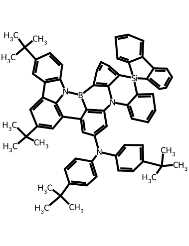 CC(C)(C)c1ccc(N(c2ccc(C(C)(C)C)cc2)c2cc3c4c(c2)N2c5ccccc5[Si]5(c6ccccc6-c6ccccc65)c5cccc(c52)B4n2c4ccc(C(C)(C)C)cc4c4cc(C(C)(C)C)cc-3c42)cc1